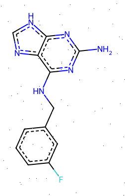 Nc1nc(NCc2cccc(F)c2)c2nc[nH]c2n1